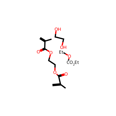 C=C(C)C(=O)OCCOC(=O)C(=C)C.CCOC(=O)OCC.OCCO